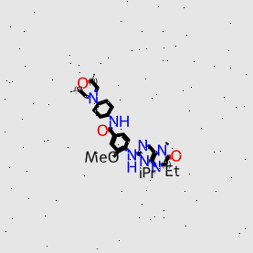 CC[C@@H]1C(=O)N(C)c2cnc(Nc3ccc(C(=O)N[C@H]4CC[C@H](N5C[C@@H](C)O[C@@H](C)C5)CC4)cc3OC)nc2N1C(C)C